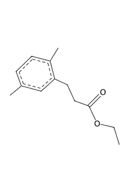 CCOC(=O)CCc1cc(C)ccc1C